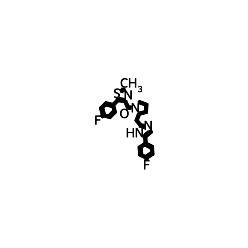 Cc1nc(C(=O)N2CCCC2Cc2ncc(-c3ccc(F)cc3)[nH]2)c(-c2ccc(F)cc2)s1